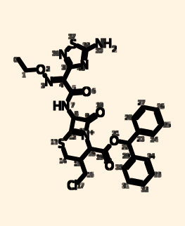 CCON=C(C(=O)NC1C(=O)[N+]2=C1SCC(CCl)C2C(=O)OC(c1ccccc1)c1ccccc1)c1nsc(N)n1